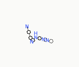 N#Cc1ccc(-c2ccc3nccc(Nc4ccc(N5CCN(C6CCCCC6)CC5)cc4)c3c2)cc1